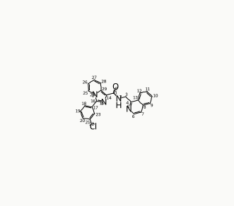 O=C(NCc1nccc2ccccc12)c1nc(-c2cccc(Cl)c2)n2ccccc12